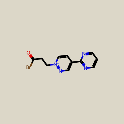 O=C(Br)CC[n+]1ccc(-c2ncccn2)cn1